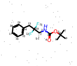 C[C@@H](NC(=O)OC(C)(C)C)C(F)(F)Cc1ccccc1